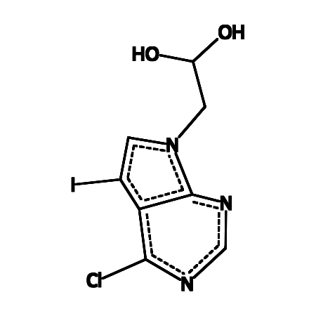 OC(O)Cn1cc(I)c2c(Cl)ncnc21